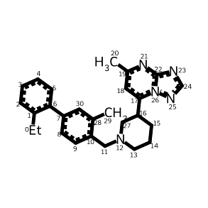 CCc1ccccc1-c1ccc(CN2CCCC(c3cc(C)nc4ncnn34)C2)c(C)c1